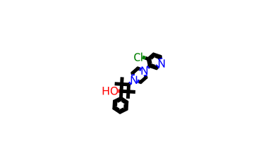 CC1(C)C(N2CCN(c3cnccc3Cl)CC2)C(C)(C)C1(O)c1ccccc1